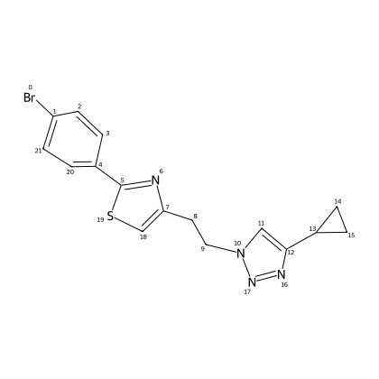 Brc1ccc(-c2nc(CCn3cc(C4CC4)nn3)cs2)cc1